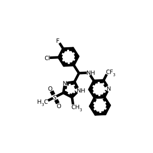 Cc1[nH]c(C(Nc2cc3ccccc3nc2C(F)(F)F)c2ccc(F)c(Cl)c2)nc1S(C)(=O)=O